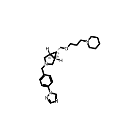 c1ncn(-c2ccc(CN3C[C@@H]4[C@H](COCCCN5CCCCC5)[C@@H]4C3)cc2)n1